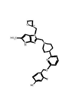 N#Cc1ccc(COc2cccc(C3CCN(Cc4nc5[nH]c(C(=O)O)cc5n4C[C@@H]4CCO4)CC3)n2)c(F)c1